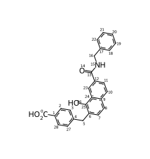 O=C(O)c1ccc(Cc2ccc3ccc(C(=O)NCc4ccccc4)cc3c2O)cc1